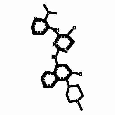 CN1CCN(c2c(Cl)cc(Nc3ncc(Cl)c(Nc4cccnc4N(C)C)n3)c3ccccc23)CC1